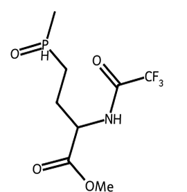 COC(=O)C(CC[PH](C)=O)NC(=O)C(F)(F)F